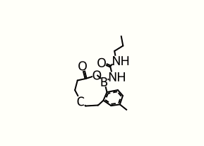 CCCNC(=O)NB1OC(=O)CCCCCc2cc(C)ccc21